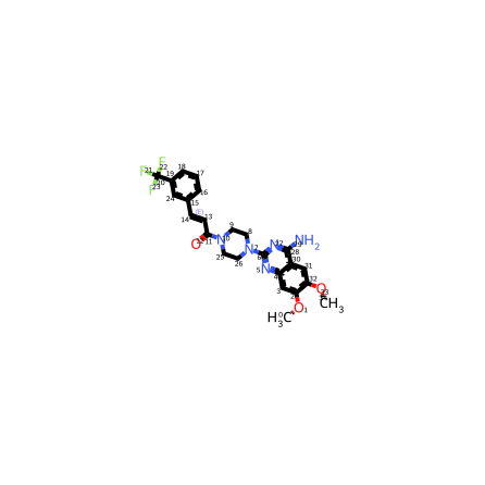 COc1cc2nc(N3CCN(C(=O)/C=C/c4cccc(C(F)(F)F)c4)CC3)nc(N)c2cc1OC